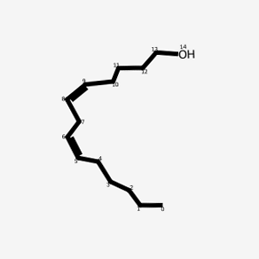 CCCCC/C=C\C/C=C\CCCCO